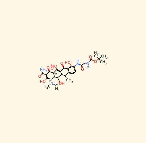 CC1c2ccc(NC(=O)CNC(=O)OC(C)(C)C)c(O)c2C(=O)C2=C(O)[C@]3(O)C(=O)C(C(N)=O)=C(O)[C@@H](N(C)C)C3C(O)C21